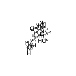 CC(C)[C@@H](C)Nc1c(-c2c(F)cc(/C=C/C3[C@H]4CNC[C@@H]34)cc2F)c(Cl)nc2ncnn12.Cl